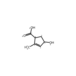 CC1=CC(O)CC1C(=O)O